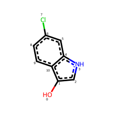 Oc1c[nH]c2cc(Cl)ccc12